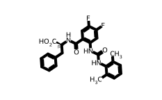 Cc1cccc(C)c1NC(=O)Nc1cc(F)c(F)cc1C(=O)N[C@@H](Cc1ccccc1)C(=O)O